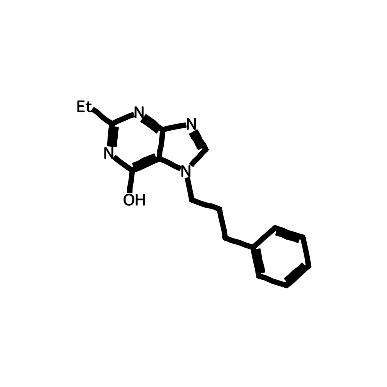 CCc1nc(O)c2c(ncn2CCCc2ccccc2)n1